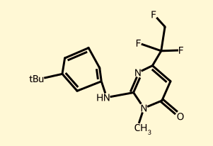 Cn1c(Nc2cccc(C(C)(C)C)c2)nc(C(F)(F)CF)cc1=O